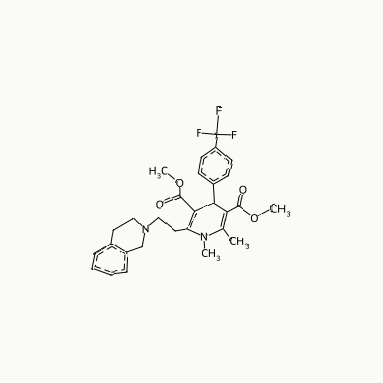 COC(=O)C1=C(C)N(C)C(CCN2CCc3ccccc3C2)=C(C(=O)OC)C1c1ccc(C(F)(F)F)cc1